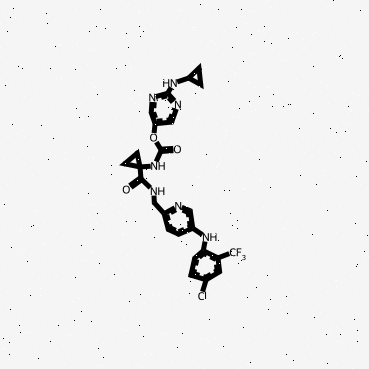 O=C(NC1(C(=O)NCc2ccc(Nc3ccc(Cl)cc3C(F)(F)F)cn2)CC1)Oc1cnc(NC2CC2)nc1